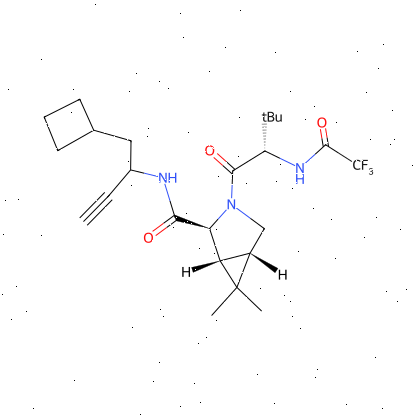 C#CC(CC1CCC1)NC(=O)[C@@H]1[C@@H]2[C@H](CN1C(=O)[C@@H](NC(=O)C(F)(F)F)C(C)(C)C)C2(C)C